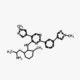 CC(N)CC1CCCC(C)C1Nc1nc(-c2cccc(-c3cnn(C)c3)c2)ncc1-c1cnn(C)c1